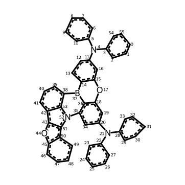 c1ccc(N(c2ccccc2)c2ccc3c(c2)Oc2cc(N(c4ccccc4)c4ccccc4)cc4c2B3c2cccc3c5oc6ccccc6c5n-4c23)cc1